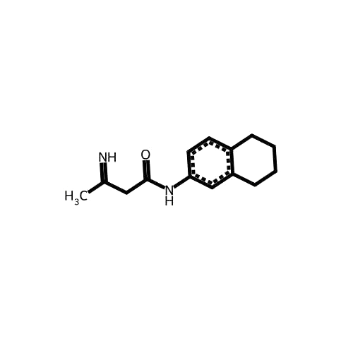 CC(=N)CC(=O)Nc1ccc2c(c1)CCCC2